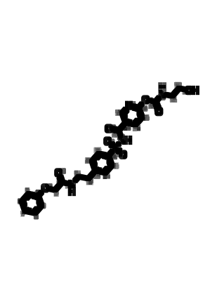 O=C(COc1ccccc1)NCCc1ccc(S(=O)(=O)NC(=O)c2ccc(OC(=O)NCCO)nc2)cc1